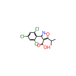 CC(C)c1onc(-c2c(Cl)cc(Cl)cc2Cl)c1C(=O)O